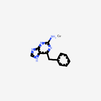 Nc1nc(Cc2ccccc2)c2[nH]cnc2n1.[Cu]